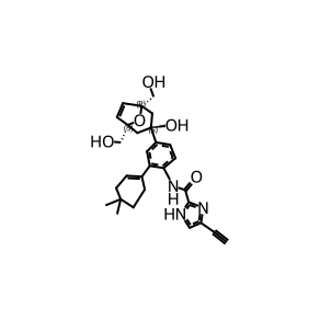 C#Cc1c[nH]c(C(=O)Nc2ccc([C@]3(O)C[C@@]4(CO)C=C[C@@](CO)(C3)O4)cc2C2=CCC(C)(C)CC2)n1